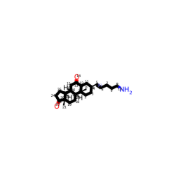 C[C@]12CC[C@H](/C=C/CCCN)CC1C(=O)C[C@@H]1[C@@H]2CC[C@]2(C)C(=O)CC[C@@H]12